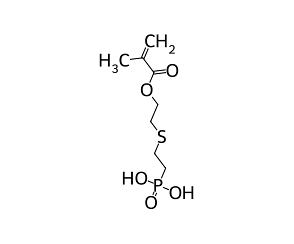 C=C(C)C(=O)OCCSCCP(=O)(O)O